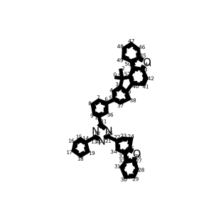 CC1(C)c2cc(-c3cccc(-c4nc(-c5ccccc5)nc(-c5ccc6oc7ccccc7c6c5)n4)c3)ccc2-c2ccc3oc4ccccc4c3c21